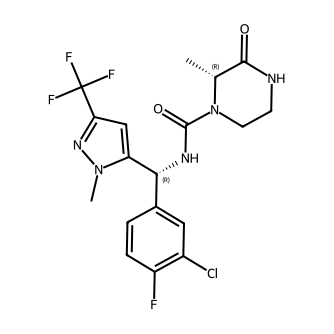 C[C@@H]1C(=O)NCCN1C(=O)N[C@H](c1ccc(F)c(Cl)c1)c1cc(C(F)(F)F)nn1C